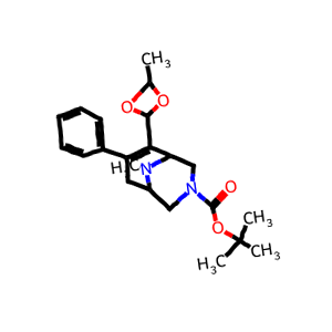 CC1OC(C2=C(c3ccccc3)CC3CN(C(=O)OC(C)(C)C)CC2N3C)O1